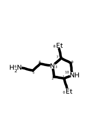 CCC1CN(CCN)C(CC)CN1